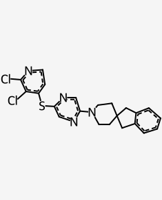 Clc1nccc(Sc2cnc(N3CCC4(CC3)Cc3ccccc3C4)cn2)c1Cl